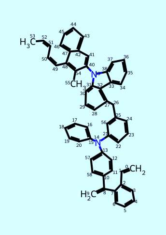 C=Cc1ccccc1C(=C)c1ccc(N(c2ccccc2)c2cccc(Cc3cccc4c3c3ccccc3n4-c3cc4ccccc4c(/C=C\C=C/C)c3C)c2)cc1